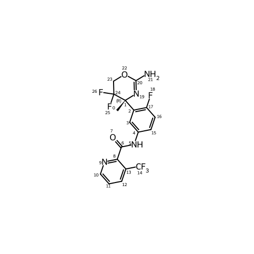 C[C@]1(c2cc(NC(=O)c3ncccc3C(F)(F)F)ccc2F)N=C(N)OCC1(F)F